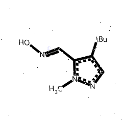 Cn1ncc(C(C)(C)C)c1/C=N/O